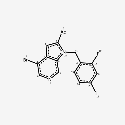 CC(=O)c1cc2c(Br)cncc2n1Cc1ccc(I)cc1F